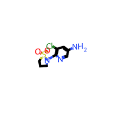 Nc1cnc(N2CCCS2(=O)=O)c(Cl)c1